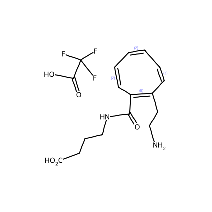 NCCC1=C(C(=O)NCCCC(=O)O)/C=C\C=C/C=C\1.O=C(O)C(F)(F)F